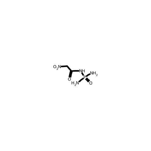 NP(N)(=O)NC(=O)C[N+](=O)[O-]